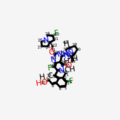 C#Cc1c(F)ccc(=C/CO)/c1=C(\C)c1nc2c3c(nc(OC[C@@]45CCCN4C[C@H](F)C5)nc3c1F)N1C[C@@H]3CC[C@@H](N3)[C@@H]1CO2